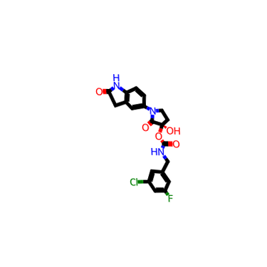 O=C1Cc2cc(N3CC[C@](O)(OC(=O)NCc4cc(F)cc(Cl)c4)C3=O)ccc2N1